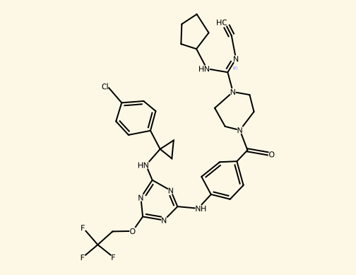 C#C/N=C(\NC1CCCC1)N1CCN(C(=O)c2ccc(Nc3nc(NC4(c5ccc(Cl)cc5)CC4)nc(OCC(F)(F)F)n3)cc2)CC1